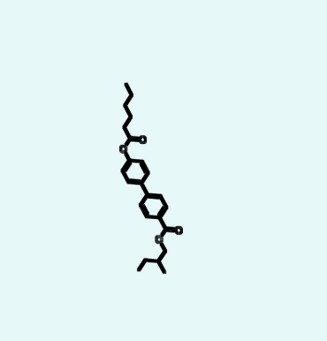 CCCCCC(=O)Oc1ccc(-c2ccc(C(=O)OCC(C)CC)cc2)cc1